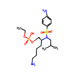 CCOP(=O)(O)OC[C@H](CCCCN)N(CC(C)C)S(=O)(=O)c1ccc(N)cc1